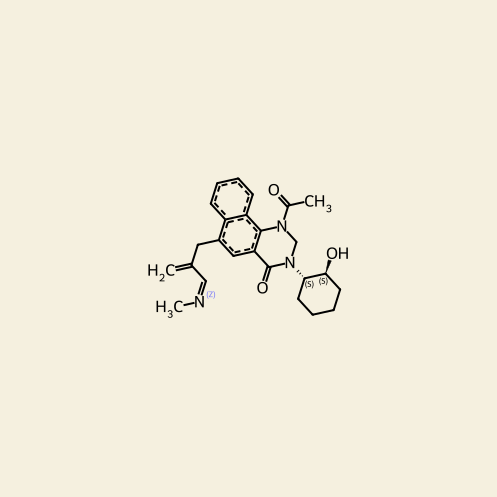 C=C(/C=N\C)Cc1cc2c(c3ccccc13)N(C(C)=O)CN([C@H]1CCCC[C@@H]1O)C2=O